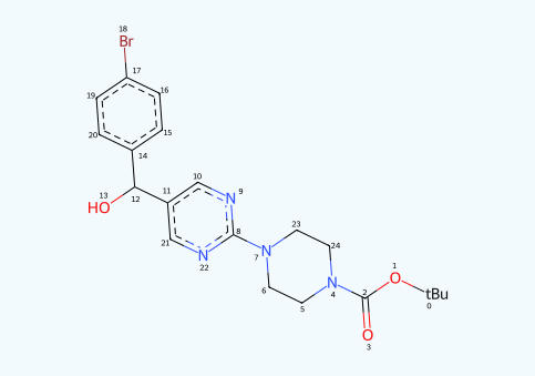 CC(C)(C)OC(=O)N1CCN(c2ncc(C(O)c3ccc(Br)cc3)cn2)CC1